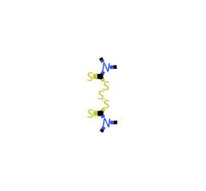 CN(C)C(=S)SSSC(=S)N(C)C